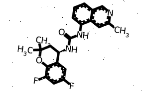 Cc1cc2c(NC(=O)N[C@@H]3CC(C)(C)Oc4c(F)cc(F)cc43)cccc2cn1